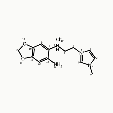 Cn1cc[n+](CCNc2cc3c(cc2N)OCO3)c1.[Cl-]